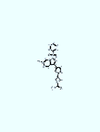 NC(=O)N1CC(n2cc(-c3cn(S(=O)(=O)c4ccccc4)c4cc(F)ccc34)cn2)C1